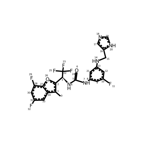 Cc1c([C@H](NC(=O)Nc2cc(F)cc(NCc3cnc[nH]3)c2)C(F)(F)F)oc2c(F)cc(F)cc12